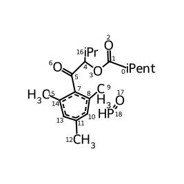 CCCC(C)C(=O)OC(C(=O)c1c(C)cc(C)cc1C)C(C)C.O=P